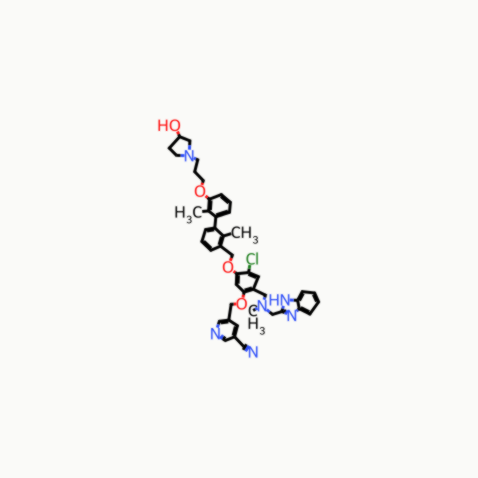 Cc1c(COc2cc(OCc3cncc(C#N)c3)c(CN(C)Cc3nc4ccccc4[nH]3)cc2Cl)cccc1-c1cccc(OCCCN2CCC(O)C2)c1C